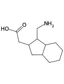 NCC1C(CC(=O)O)CC2CCCCC21